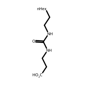 CCCCCCCCNC(=O)NCCC(=O)O